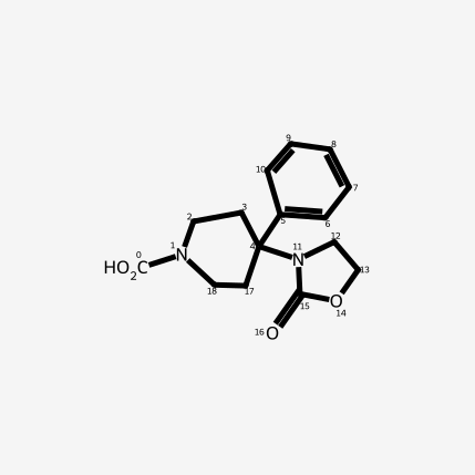 O=C(O)N1CCC(c2ccccc2)(N2CCOC2=O)CC1